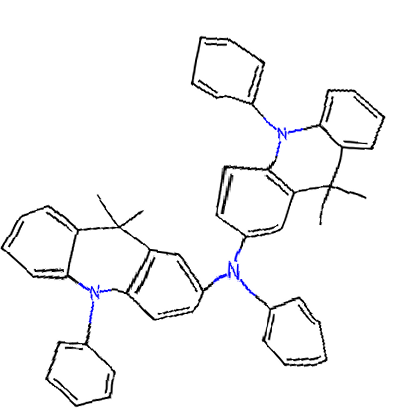 CC1(C)c2ccccc2N(c2ccccc2)c2ccc(N(c3ccccc3)c3ccc4c(c3)C(C)(C)c3ccccc3N4c3ccccc3)cc21